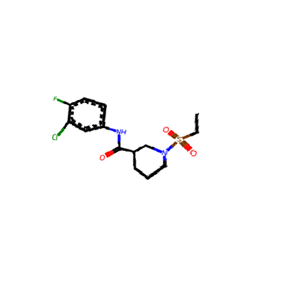 CCS(=O)(=O)N1CCCC(C(=O)Nc2ccc(F)c(Cl)c2)C1